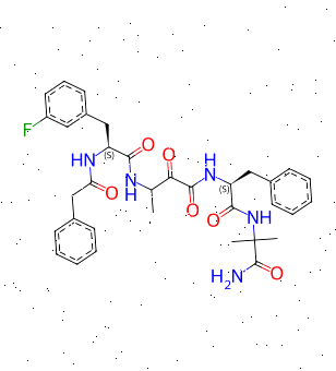 CC(NC(=O)[C@H](Cc1cccc(F)c1)NC(=O)Cc1ccccc1)C(=O)C(=O)N[C@@H](Cc1ccccc1)C(=O)NC(C)(C)C(N)=O